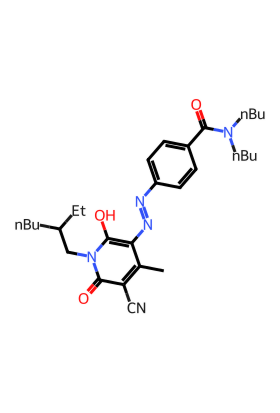 CCCCC(CC)Cn1c(O)c(/N=N/c2ccc(C(=O)N(CCCC)CCCC)cc2)c(C)c(C#N)c1=O